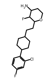 NC1CCOC(CCC2CCC(c3ccc(F)cc3Cl)CC2)C1F